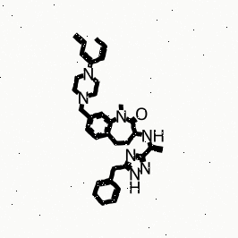 C=C/C=C(\C=C/C)N1CCN(Cc2ccc3c(c2)N(C)C(=O)C(NC(=C)c2n[nH]c(CC4=CCCC=C4)n2)CC3)CC1